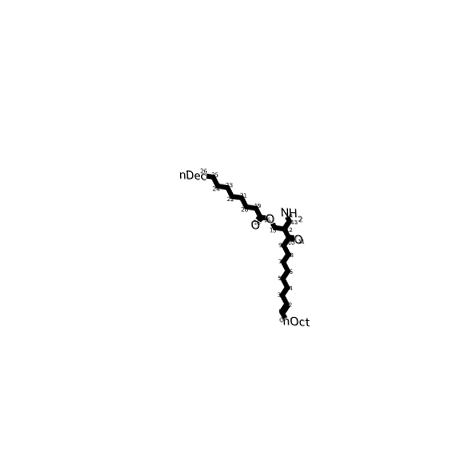 CCCCCCCCC=CCCCCCCCC(=O)C(CN)COC(=O)CCCCCCCCCCCCCCCCC